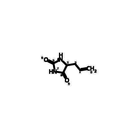 C=CC[C]1NC(=O)NC1=O